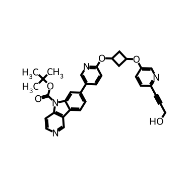 CC(C)(C)OC(=O)n1c2ccncc2c2ccc(-c3ccc(OC4CC(Oc5ccc(C#CCO)nc5)C4)nc3)cc21